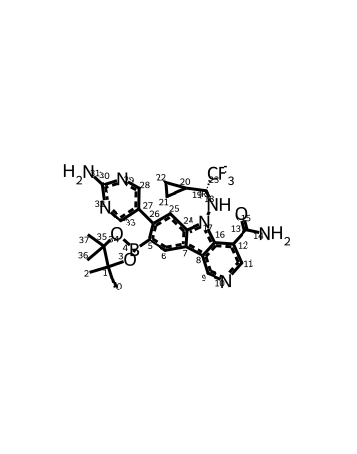 CC1(C)OB(c2cc3c4cncc(C(N)=O)c4n(N[C@H](C4CC4)C(F)(F)F)c3cc2-c2cnc(N)nc2)OC1(C)C